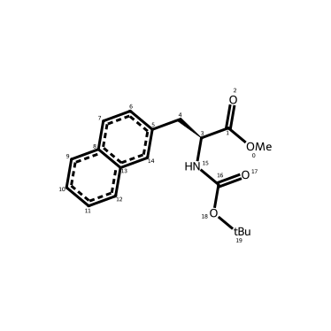 COC(=O)[C@H](Cc1ccc2ccccc2c1)NC(=O)OC(C)(C)C